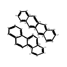 c1ccc2c(c1)ccc1c3ccccc3ccc21.c1ccc2cc3cc4ccccc4cc3cc2c1